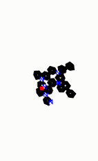 c1ccc(-c2ccc3c(c2)c2cc4c(cc2n3-c2cccc(-c3ccc5c(c3)c3ccccc3n5-c3cccnc3)c2)N(c2cccc(-c3ccc5c(c3)c3ccccc3n5-c3cccnc3)c2)c2cccc3c(-c5ccccc5)ccc-4c23)cc1